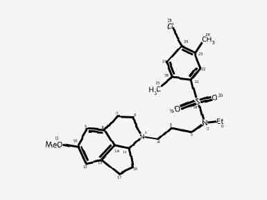 CCN(CCCN1CCc2cc(OC)cc3c2C1CC3)S(=O)(=O)c1cc(C)c(Cl)cc1C